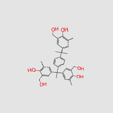 Cc1cc(C(C)(C)c2ccc(C(C)(c3cc(C)c(O)c(CO)c3)c3cc(C)c(O)c(CO)c3)cc2)cc(CO)c1O